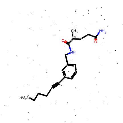 C[C@@H](CCC(N)=O)C(=O)NCc1cccc(C#CCCCC(=O)O)c1